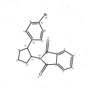 O=C1c2ccccc2C(=O)N1C1CCCC1c1ccc(Br)cc1